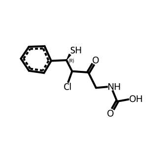 O=C(O)NCC(=O)C(Cl)[C@H](S)c1ccccc1